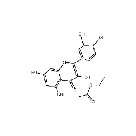 CCOC(C)=O.O=c1c(O)c(-c2ccc(O)c(O)c2)oc2cc(O)cc(O)c12